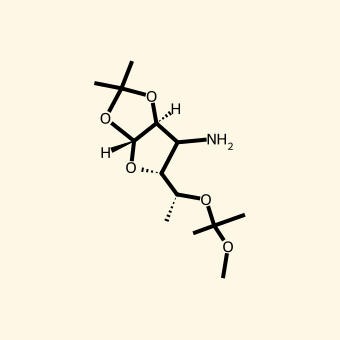 COC(C)(C)O[C@H](C)[C@@H]1O[C@@H]2OC(C)(C)O[C@H]2C1N